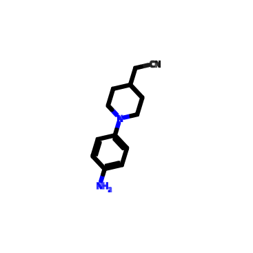 N#CCC1CCN(c2ccc(N)cc2)CC1